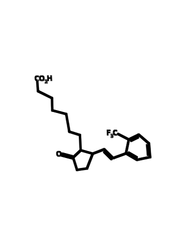 O=C(O)CCCCCCC1C(=O)CCC1C=Cc1ccccc1C(F)(F)F